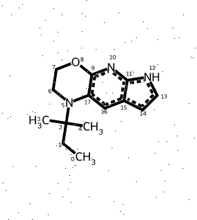 CCC(C)(C)N1CCOc2nc3[nH]ccc3cc21